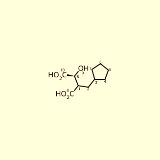 O=C(O)C(CC1CCCC1)[C@H](O)C(=O)O